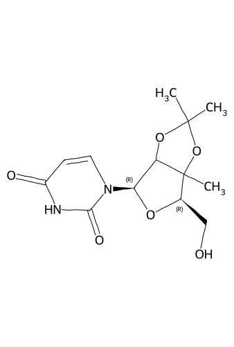 CC1(C)OC2[C@H](n3ccc(=O)[nH]c3=O)O[C@H](CO)C2(C)O1